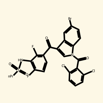 CCCS(=O)(=O)Nc1c(F)ccc(C(=O)c2cn(C(=O)c3c(Cl)cccc3Cl)c3ccc(Br)cc23)c1F